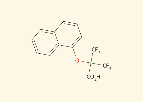 O=C(O)C(Oc1cccc2ccccc12)(C(F)(F)F)C(F)(F)F